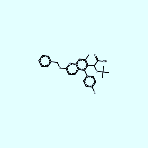 Cc1cc2nc(OCc3ccccc3)ccc2c(-c2ccc(Cl)cc2)c1C(OC(C)(C)C)C(=O)O